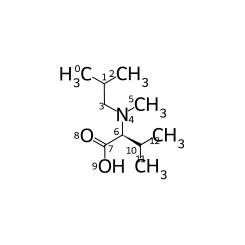 CC(C)CN(C)[C@H](C(=O)O)C(C)C